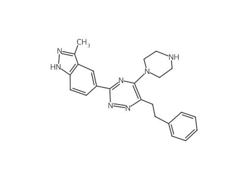 Cc1n[nH]c2ccc(-c3nnc(CCc4ccccc4)c(N4CCNCC4)n3)cc12